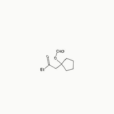 [CH2-][CH+]C(=O)CC1(OC=O)CCCC1